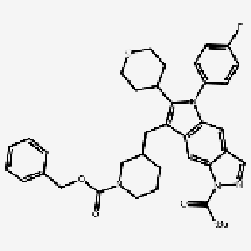 CC(C)(C)C(=O)n1ncc2cc3c(cc21)c(CC1CCCN(C(=O)OCc2ccccc2)C1)c(C1CCOCC1)n3-c1ccc(F)cc1